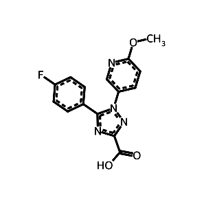 COc1ccc(-n2nc(C(=O)O)nc2-c2ccc(F)cc2)cn1